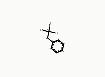 FC(F)(I)Cc1ccccc1